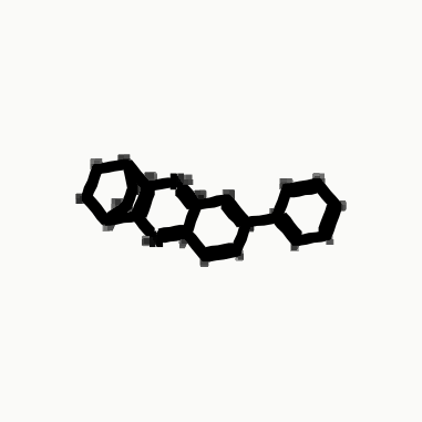 c1ccc(-c2ccc3nc4c(nc3c2)C2CCC4CC2)cc1